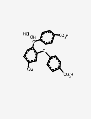 CC(C)(C)c1ccc(Oc2ccc(C(=O)O)cc2)c(Oc2ccc(C(=O)O)cc2)c1.Cl.Cl